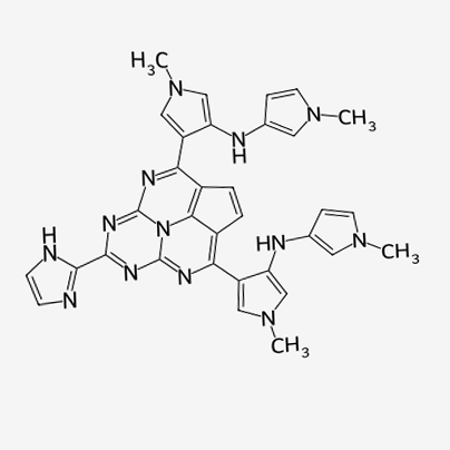 Cn1ccc(Nc2cn(C)cc2-c2nc3nc(-c4ncc[nH]4)nc4nc(-c5cn(C)cc5Nc5ccn(C)c5)c5ccc2c5n34)c1